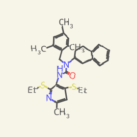 CCSc1cc(C)nc(SCC)c1NC(=O)N(Cc1c(C)cc(C)cc1C)C1CCc2ccccc2C1